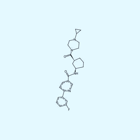 O=C(N[C@@H]1CCC[C@H](C(=O)N2CCN(C3CC3)CC2)C1)c1ccc(-c2cccc(F)c2)nc1